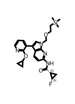 C[Si](C)(C)CCOCn1cc(-c2cccnc2OC2CC2)c2ccc(NC(=O)[C@@H]3C[C@@H]3F)nc21